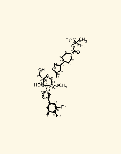 CO[C@@H]1[C@@H](n2cc(-c3cc(F)c(F)c(F)c3)nn2)[C@@H](O)[C@@H](CO)O[C@@H]1CC1CC(C2CCN(C(=O)OC(C)(C)C)CC2)=NO1